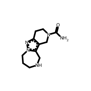 NC(=O)N1CCc2nn3c(c2C1)CNCCC3